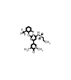 CCCS(=O)(=O)Nc1cc(-c2cc(C)c(=O)n(C)c2)nc(Oc2c(F)cccc2C(F)(F)F)n1